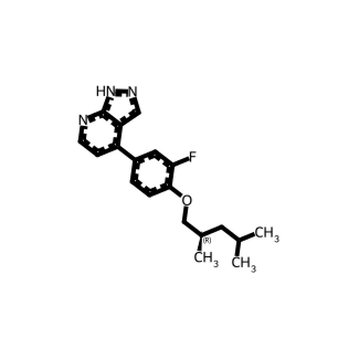 CC(C)C[C@@H](C)COc1ccc(-c2ccnc3[nH]ncc23)cc1F